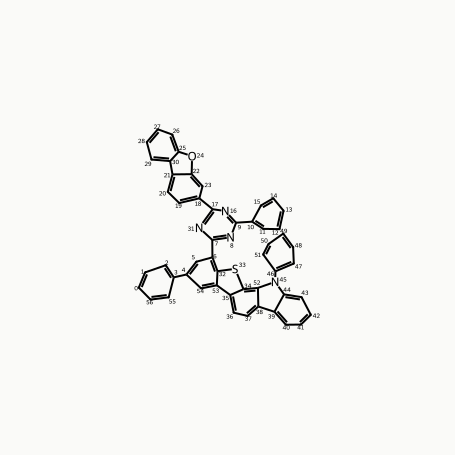 c1ccc(-c2cc(-c3nc(-c4ccccc4)nc(-c4ccc5c(c4)oc4ccccc45)n3)c3sc4c(ccc5c6ccccc6n(-c6ccccc6)c54)c3c2)cc1